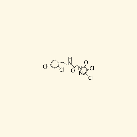 O=C(Cn1ncc(Cl)c(Cl)c1=O)NCCc1ccc(Cl)cc1Cl